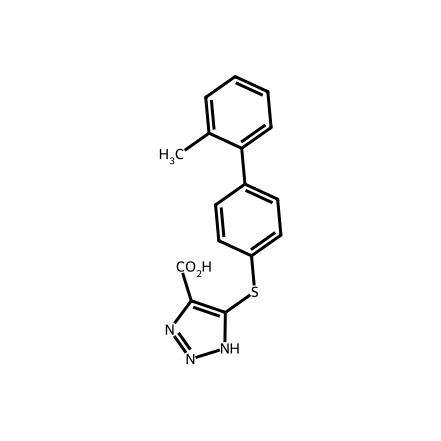 Cc1ccccc1-c1ccc(Sc2[nH]nnc2C(=O)O)cc1